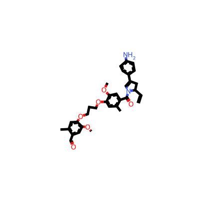 C=CC1CC(c2ccc(N)cc2)=CN1C(=O)c1cc(OC)c(OCCCOc2cc(C)c(C=O)cc2OC)cc1C